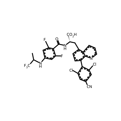 CC(Nc1cc(F)c(C(=O)N[C@@H](Cc2ccc(-c3c(Cl)cc(C#N)cc3Cl)c3ncccc23)C(=O)O)c(F)c1)C(F)(F)F